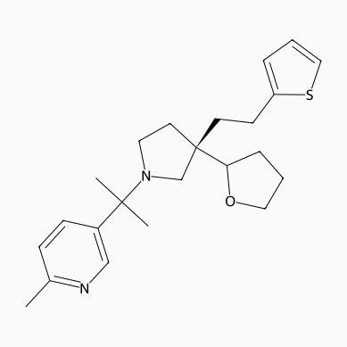 Cc1ccc(C(C)(C)N2CC[C@](CCc3cccs3)(C3CCCO3)C2)cn1